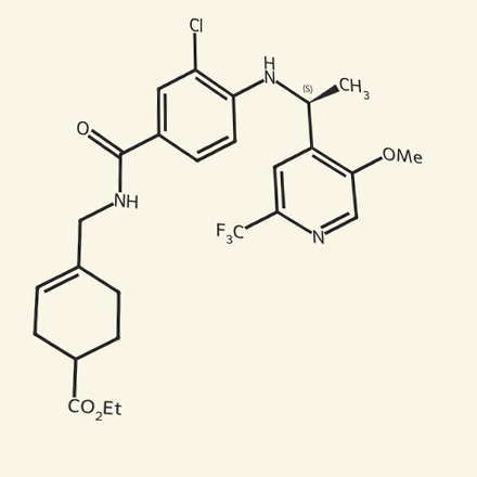 CCOC(=O)C1CC=C(CNC(=O)c2ccc(N[C@@H](C)c3cc(C(F)(F)F)ncc3OC)c(Cl)c2)CC1